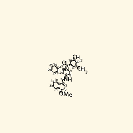 COc1ccc(CN[C@H]2CCN(C(=O)c3cc(C)cc(C)c3)[C@@H](Cc3ccccc3)C2)c2ccccc12